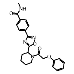 CNC(=O)c1ccc(-c2noc(C3CCCCN3C(=O)COc3ccccc3)n2)cc1